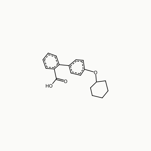 O=C(O)c1ccccc1-c1ccc(OC2CCCCC2)cc1